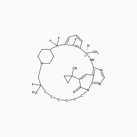 C[C@H]1Nc2ncnc3c2cc(C2(C#N)CC2)c(=O)n3CCCCCCC(C)(F)CN2CCC(CC2)C(F)(F)c2cccc1c2F